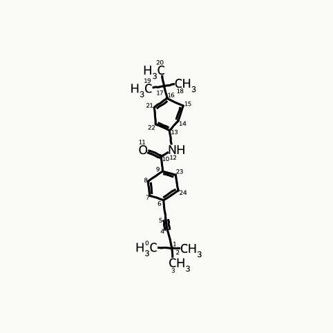 CC(C)(C)C#Cc1ccc(C(=O)Nc2ccc(C(C)(C)C)cc2)cc1